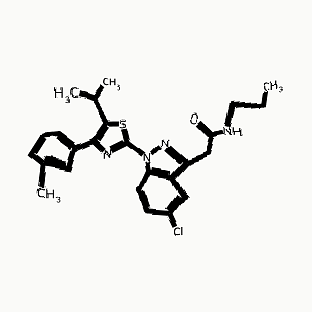 CCCNC(=O)Cc1nn(-c2nc(-c3cccc(C)c3)c(C(C)C)s2)c2ccc(Cl)cc12